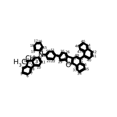 CC1(C)c2ccccc2-c2ccc(N(c3ccccc3)c3ccc(-c4ccc5c(c4)oc4c6ccccc6c(-c6cccc7ccccc67)cc54)cc3)cc21